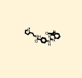 CN1CCCC1CCNC(=O)c1ccc(NC2=NCC34CC(=O)CC=NC3=CC=CC4=N2)cc1